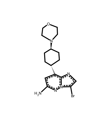 Nc1cc([C@H]2CC[C@H](N3CCOCC3)CC2)c2ncc(Br)n2n1